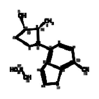 C[C@H]1[C@@H](O)CCN1c1ccc(C#N)c2sccc12.O=S(=O)(O)O